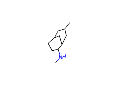 CNC1CCC2CC(C)CC1C2